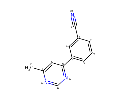 Cc1cc(-c2cccc(C#N)c2)ncn1